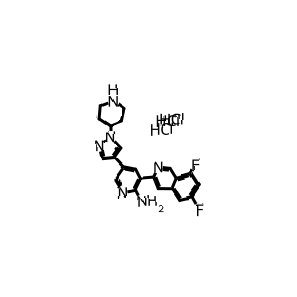 Cl.Cl.Cl.Nc1ncc(-c2cnn(C3CCNCC3)c2)cc1-c1cc2cc(F)cc(F)c2cn1